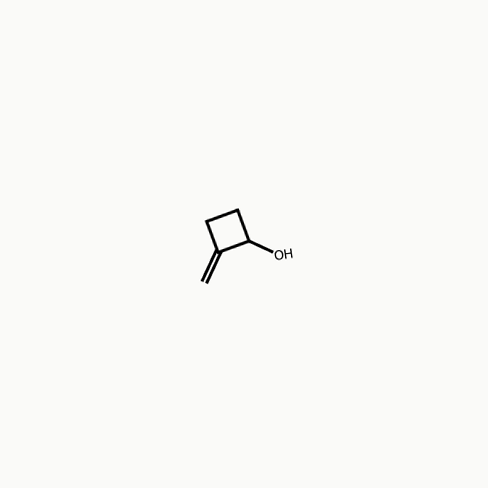 C=C1CCC1O